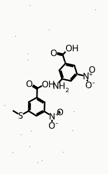 CSc1cc(C(=O)O)cc([N+](=O)[O-])c1.Nc1cc(C(=O)O)cc([N+](=O)[O-])c1